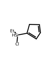 CC[SiH](Cl)C1=CC=CC1